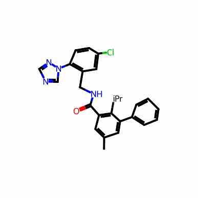 Cc1cc(C(=O)NCc2cc(Cl)ccc2-n2cncn2)c(C(C)C)c(-c2ccccc2)c1